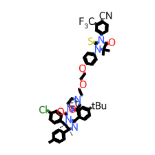 CCOc1cc(C(C)(C)C)ccc1C1=N[C@@](C)(c2ccc(C)cc2)[C@@](C)(c2ccc(Cl)cc2)N1C(=O)N1CCN(CCOCCOc2ccc(N3C(=S)N(c4ccc(C#N)c(C(F)(F)F)c4)C(=O)C3(C)C)cc2)CC1